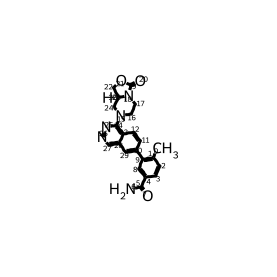 Cc1ccc(C(N)=O)cc1-c1ccc2c(N3CCN4C(=O)OC[C@@H]4C3)nncc2c1